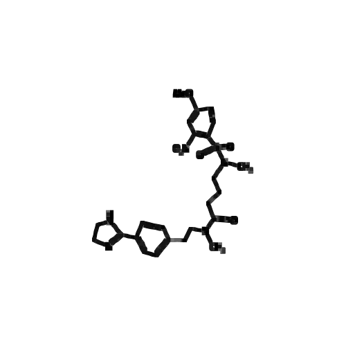 COc1ccc(S(=O)(=O)N(C)CCCC(=O)N(C)CCc2ccc(C3=NCCN3)cc2)c([N+](=O)[O-])c1